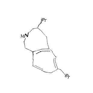 CC(C)c1ccc2c(c1)CC(C(C)C)NC2